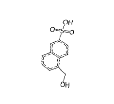 O=S(=O)(O)c1ccc2c(CO)cccc2c1